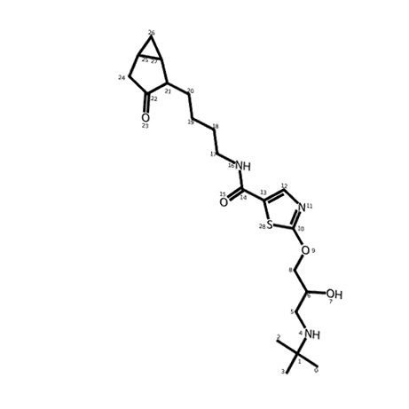 CC(C)(C)NCC(O)COc1ncc(C(=O)NCCCCC2C(=O)CC3CC32)s1